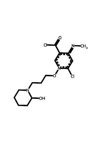 CN=c1cc(Cl)n(OCCCN2CCCCC2O)cc1C(=O)Cl